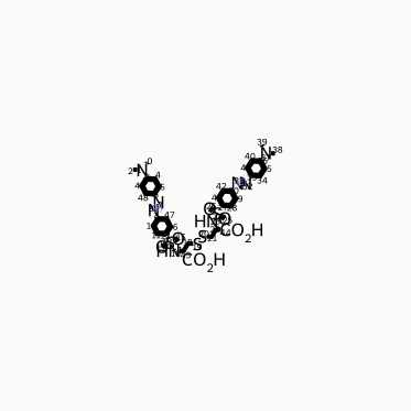 CN(C)c1ccc(/N=N/c2ccc(S(=O)(=O)NC(CSSCC(NS(=O)(=O)c3ccc(/N=N/c4ccc(N(C)C)cc4)cc3)C(=O)O)C(=O)O)cc2)cc1